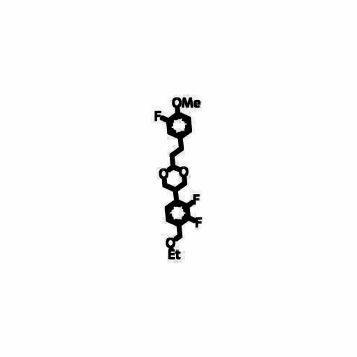 CCOCc1ccc(C2COC(CCc3ccc(OC)c(F)c3)OC2)c(F)c1F